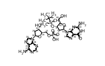 CC(C)(C)[Si](C)(C)O[C@H]1[C@@H](OP(=O)(O)OC[C@H]2O[C@@H](n3cnc4c(N)ncnc43)C[C@@H]2O)[C@H](n2cnc3c(=O)[nH]c(N)nc32)O[C@@H]1CO